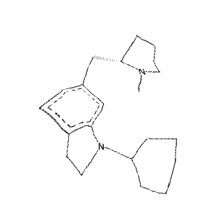 CN1CCC[C@H]1Cc1ccc2c(c1)N(C1CCCCC1)CC2